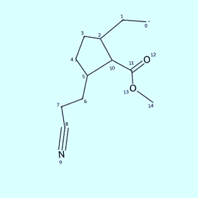 [CH2]CC1C[CH]C(CCC#N)C1C(=O)OC